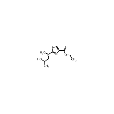 CCOC(=O)c1csc(N(C)CC(C)O)n1